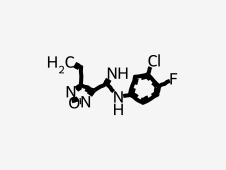 C=Cc1nonc1C(=N)Nc1ccc(F)c(Cl)c1